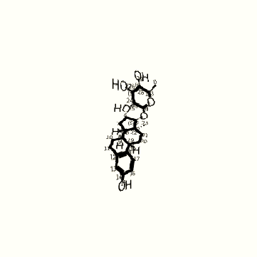 C[C@H]1O[C@@H](O[C@H]2CC[C@H]3[C@@H]4CCc5cc(O)ccc5[C@H]4CC[C@]23C)[C@H](O)[C@@H](O)[C@@H]1O